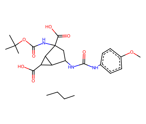 CCCC.COc1ccc(NC(=O)NC2CC(NC(=O)OC(C)(C)C)(C(=O)O)C3C(C(=O)O)C23)cc1